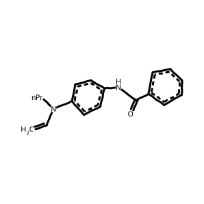 C=CN(CCC)c1ccc(NC(=O)c2ccccc2)cc1